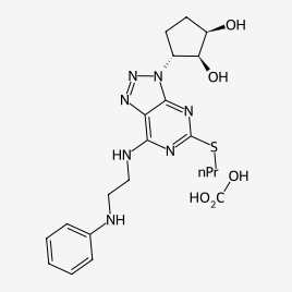 CCCSc1nc(NCCNc2ccccc2)c2nnn([C@@H]3CC[C@@H](O)[C@H]3O)c2n1.O=C(O)O